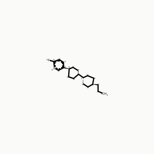 CCC[C@H]1CC[C@H]([C@H]2CC[C@H](c3ccc(F)nc3)CC2)CC1